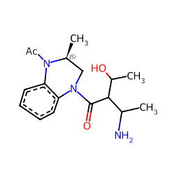 CC(=O)N1c2ccccc2N(C(=O)C(C(C)N)C(C)O)C[C@@H]1C